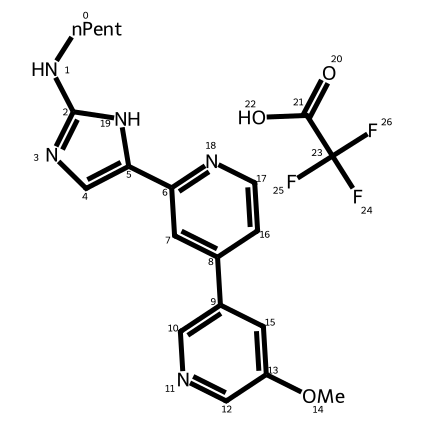 CCCCCNc1ncc(-c2cc(-c3cncc(OC)c3)ccn2)[nH]1.O=C(O)C(F)(F)F